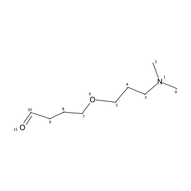 CN(C)CCCOCCCC=O